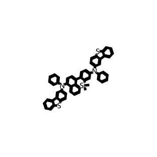 C[Si]1(C)c2cc(N(c3ccccc3)c3ccc4sc5ccccc5c4c3)ccc2-c2ccc(N(c3ccccc3)c3ccc4sc5ccccc5c4c3)c3cccc1c23